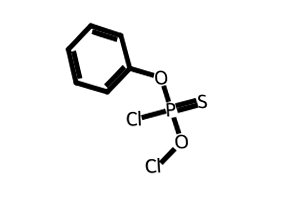 S=P(Cl)(OCl)Oc1ccccc1